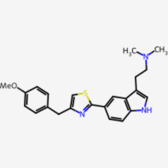 COc1ccc(Cc2csc(-c3ccc4[nH]cc(CCN(C)C)c4c3)n2)cc1